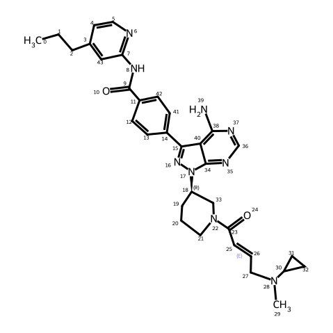 CCCc1ccnc(NC(=O)c2ccc(-c3nn([C@@H]4CCCN(C(=O)/C=C/CN(C)C5CC5)C4)c4ncnc(N)c34)cc2)c1